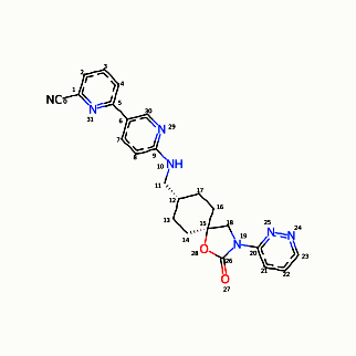 N#Cc1cccc(-c2ccc(NC[C@H]3CC[C@]4(CC3)CN(c3cccnn3)C(=O)O4)nc2)n1